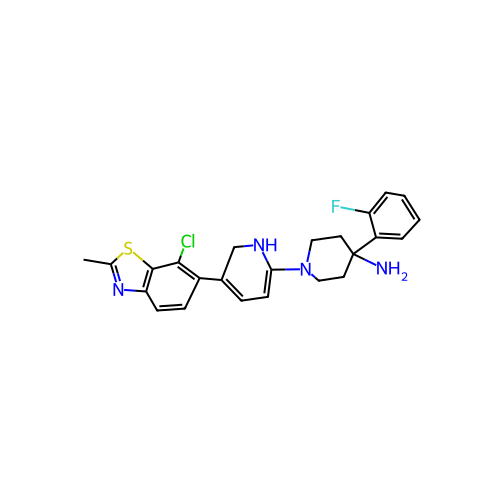 Cc1nc2ccc(C3=CC=C(N4CCC(N)(c5ccccc5F)CC4)NC3)c(Cl)c2s1